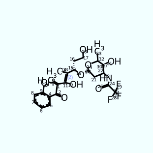 C=C(C(=O)c1ccccc1O)/C(O)=C(\C)[C@H](CCO)O[C@H]1CC(NC(=O)C(F)(F)F)[C@H](O)C(C)O1